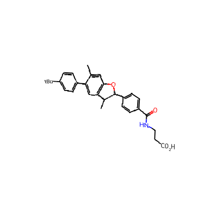 Cc1cc2c(cc1-c1ccc(C(C)(C)C)cc1)C(C)C(c1ccc(C(=O)NCCC(=O)O)cc1)O2